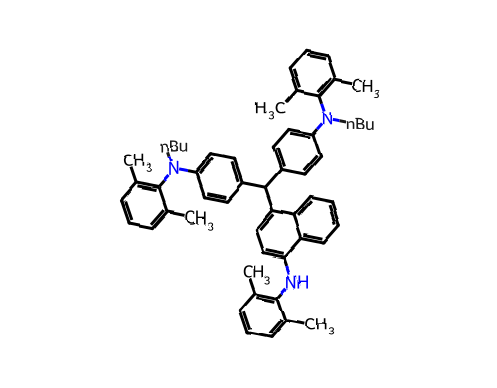 CCCCN(c1ccc(C(c2ccc(N(CCCC)c3c(C)cccc3C)cc2)c2ccc(Nc3c(C)cccc3C)c3ccccc23)cc1)c1c(C)cccc1C